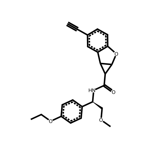 C#Cc1ccc2c(c1)C1C(O2)C1C(=O)N[C@@H](COC)c1ccc(OCC)cc1